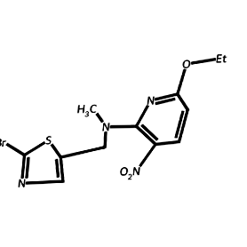 CCOc1ccc([N+](=O)[O-])c(N(C)Cc2cnc(Br)s2)n1